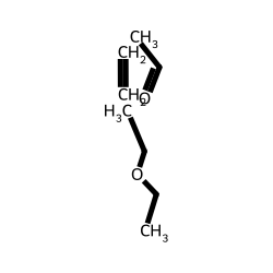 C=C.CC=O.CCOCC